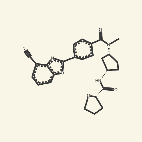 CN(C(=O)c1ccc(-c2nc3c(C#N)cccc3o2)cc1)[C@@H]1CC[C@H](NC(=O)[C@@H]2CCCO2)C1